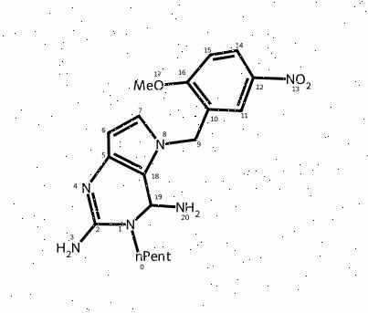 CCCCCN1C(N)=Nc2ccn(Cc3cc([N+](=O)[O-])ccc3OC)c2C1N